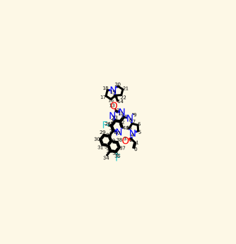 C=CC(=O)N1CCC(N(C)c2nc(OCC34CCCN3CCC4)nc3c(F)c(-c4cccc5c(C)c(F)ccc45)ncc23)C1